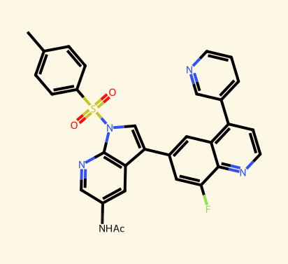 CC(=O)Nc1cnc2c(c1)c(-c1cc(F)c3nccc(-c4cccnc4)c3c1)cn2S(=O)(=O)c1ccc(C)cc1